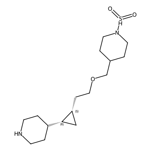 O=[SH](=O)N1CCC(COCC[C@@H]2C[C@@H]2C2CCNCC2)CC1